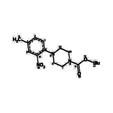 Cc1ccc(N2CCN(C(=O)OC(C)(C)C)CC2)c([N+](=O)[O-])c1